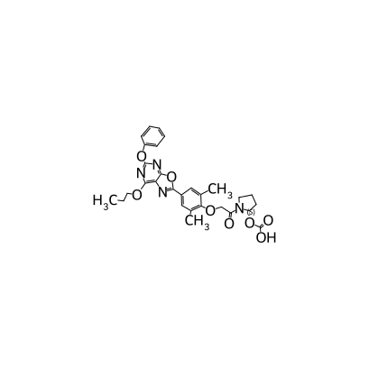 CCCOc1nc(Oc2ccccc2)nc2oc(-c3cc(C)c(OCC(=O)N4CCC[C@@H]4OC(=O)O)c(C)c3)nc12